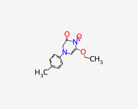 CCOC1=CN(c2ccc(C)cc2)CC(=O)[N+]1=O